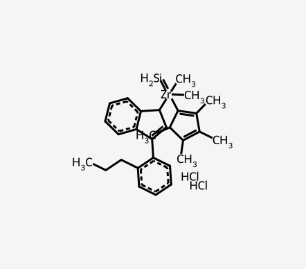 CCCc1ccccc1C1=C[CH]([Zr]([CH3])([CH3])(=[SiH2])[C]2=C(C)C(C)=C(C)C2C)c2ccccc21.Cl.Cl